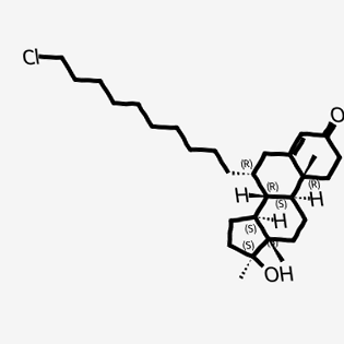 C[C@]12CCC(=O)C=C1C[C@@H](CCCCCCCCCCCl)[C@@H]1[C@@H]2CC[C@@]2(C)[C@H]1CC[C@]2(C)O